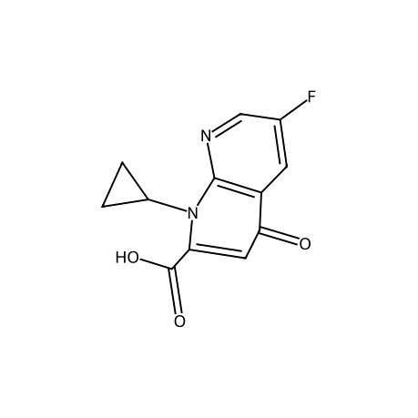 O=C(O)c1cc(=O)c2cc(F)cnc2n1C1CC1